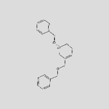 C1=C(COCc2ccccc2)C[C@H](OCc2ccccc2)CC1